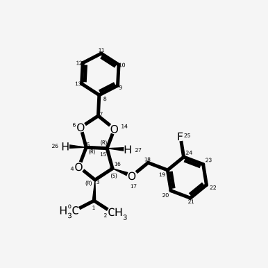 CC(C)[C@H]1O[C@@H]2OC(c3ccccc3)O[C@@H]2[C@H]1OCc1ccccc1F